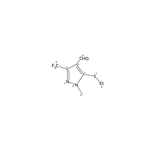 CCSc1c(C=O)c(C(F)(F)F)nn1C